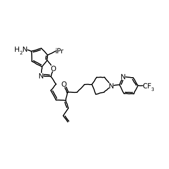 C=C/C=C(\C=C/Cc1nc2cc(N)cc(C(C)C)c2o1)C(=O)CCC1CCN(c2ccc(C(F)(F)F)cn2)CC1